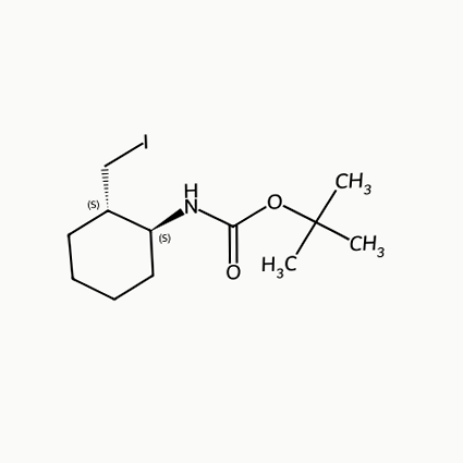 CC(C)(C)OC(=O)N[C@H]1CCCC[C@@H]1CI